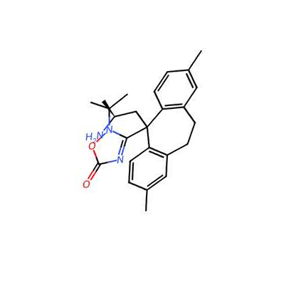 Cc1ccc2c(c1)CCc1cc(C)ccc1C2(C[C@H](C)N)c1nc(=O)on1C(C)C